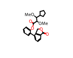 COC(C(=O)Oc1ccccc1-c1cccc2c1COC2=O)C(OC)C1CCCC1